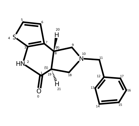 O=C1Nc2sccc2[C@@H]2CN(Cc3ccccc3)C[C@@H]12